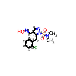 CN(C)S(=O)(=O)n1ncc(C=NO)c1Cc1ccccc1F